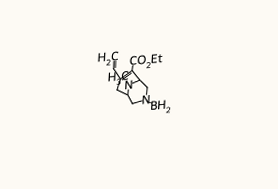 BN1CC2CC(C=C)=C(C(=O)OCC)C(C1)N2C